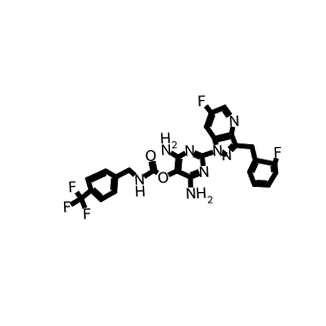 Nc1nc(-n2nc(Cc3ccccc3F)c3ncc(F)cc32)nc(N)c1OC(=O)NCc1ccc(C(F)(F)F)cc1